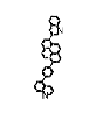 c1ccc2ncc(-c3ccc4ccc5c(-c6ccc(-c7cccc8ncccc78)cc6)ccc6ccc3c4c65)cc2c1